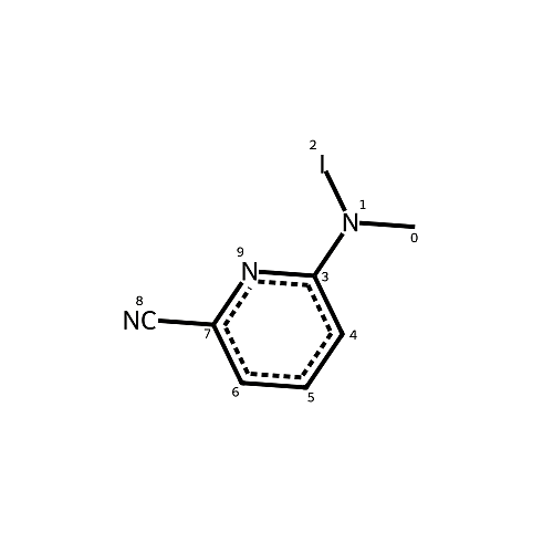 CN(I)c1cccc(C#N)n1